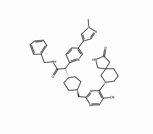 Cn1cc(-c2ccc(C(C(=O)NCc3ccccc3)[C@H]3CC[C@H](Cc4ncc(C#N)c(N5CCCC6(CNC(=O)C6)C5)n4)CC3)nc2)cn1